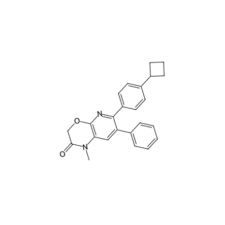 CN1C(=O)COc2nc(-c3ccc(C4CCC4)cc3)c(-c3ccccc3)cc21